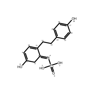 O=P(O)(O)N=C1CC(O)=CC=C1CCc1ccc(O)cc1